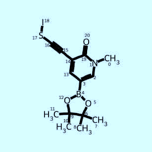 Cn1cc(B2OC(C)(C)C(C)(C)O2)cc(C#CSI)c1=O